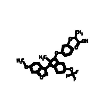 COc1ccc2c(-n3c(C)c(Oc4cccc(O[C@@H](C)C(=O)O)c4)c4cc(OC(F)(F)F)ccc43)noc2c1